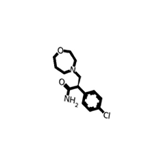 NC(=O)[C@@H](CN1CCCOCC1)c1ccc(Cl)cc1